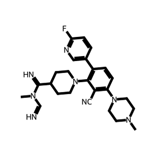 CN1CCN(c2ccc(-c3ccc(F)nc3)c(N3CCC(C(=N)N(C)C=N)CC3)c2C#N)CC1